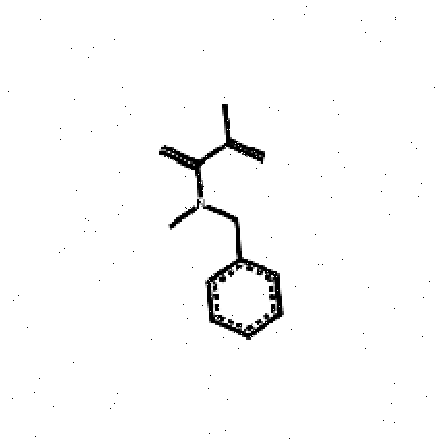 C=C(C)C(=C)N(C)Cc1ccccc1